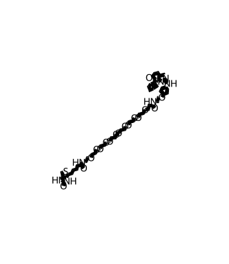 O=C(CCCCC1SCC2NC(=O)NC21)NCCOCCOOCCOOCCOOCCOOCCOOCCOCCC(=O)NCCOc1ccc(Nc2ncc3ccc(=O)n(C4CC5CCC4C5)c3n2)cc1